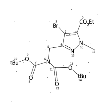 CCOC(=O)c1c(Br)c(CN(C(=O)OC(C)(C)C)C(=O)OC(C)(C)C)nn1C